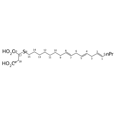 CCCC=CCC=CCC=CCCCCCCCSC(CC(=O)O)C(=O)O